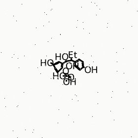 CCC(c1ccc(O)cc1)C(O)(O)c1cc(O)ccc1OP(=O)(O)O